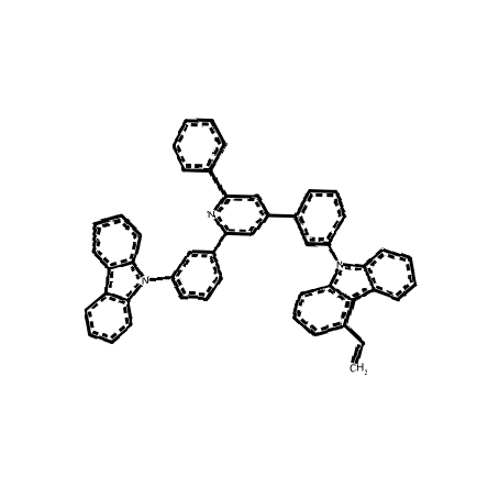 C=Cc1cccc2c1c1ccccc1n2-c1cccc(-c2cc(-c3ccccc3)nc(-c3cccc(-n4c5ccccc5c5ccccc54)c3)c2)c1